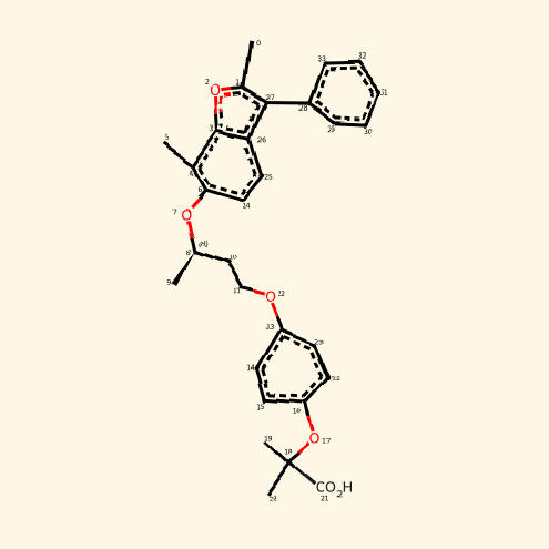 Cc1oc2c(C)c(O[C@H](C)CCOc3ccc(OC(C)(C)C(=O)O)cc3)ccc2c1-c1ccccc1